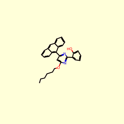 CCCCCCOc1cc(-c2c3ccccc3cc3ccccc23)nc(-c2ccccc2O)n1